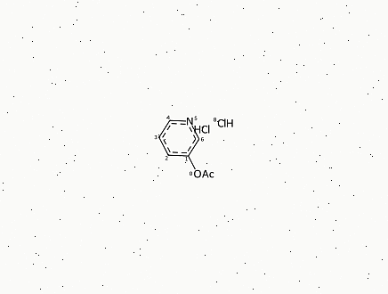 CC(=O)Oc1cccnc1.Cl.Cl